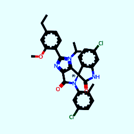 CCc1ccc(-c2nc3c(n2C(C)C)[C@]2(C(=O)Nc4cc(Cl)ccc42)N(c2cc(Cl)ccc2C)C3=O)c(OC)c1